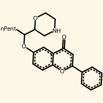 CCCCCC(Oc1ccc2oc(-c3ccccc3)cc(=O)c2c1)C1CNCCO1